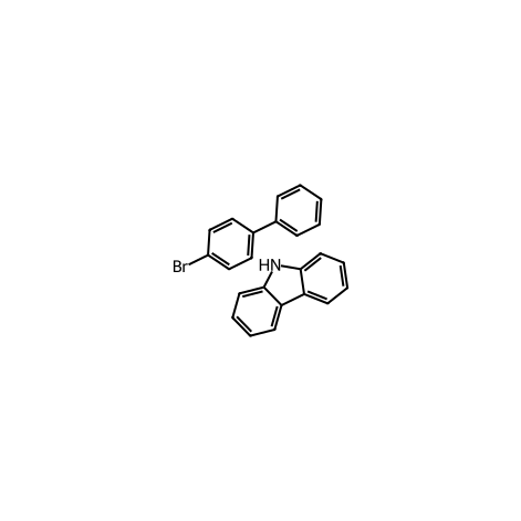 Brc1ccc(-c2ccccc2)cc1.c1ccc2c(c1)[nH]c1ccccc12